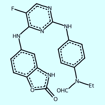 CCN(C=O)c1ccc(Nc2ncc(F)c(Nc3ccc4oc(=O)[nH]c4c3)n2)cc1